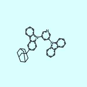 c1ccc2c(c1)c1ccccc1n2-c1cncc(-n2c3ccccc3c3cc(C45CC6CC(CC(C6)C4)C5)ccc32)c1